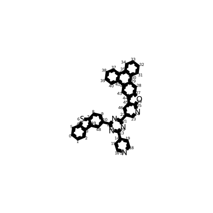 c1ccc2c(c1)sc1ccc(-c3nc(-c4ccncc4)nc(-c4cnc5oc6cc7c8ccccc8c8ccccc8c7cc6c5c4)n3)cc12